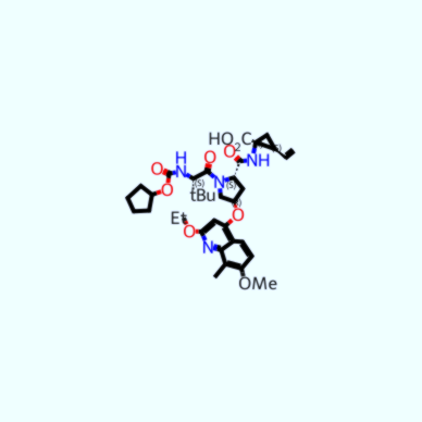 C=C[C@@H]1C[C@]1(NC(=O)[C@@H]1C[C@@H](Oc2cc(OCC)nc3c(C)c(OC)ccc23)CN1C(=O)[C@@H](NC(=O)OC1CCCC1)C(C)(C)C)C(=O)O